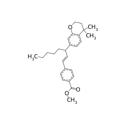 CCCCCC(C=Cc1ccc(C(=O)OC)cc1)c1ccc2c(c1)OCCC2(C)C